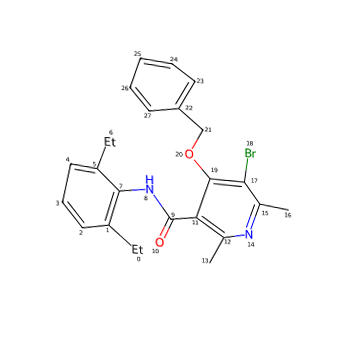 CCc1cccc(CC)c1NC(=O)c1c(C)nc(C)c(Br)c1OCc1ccccc1